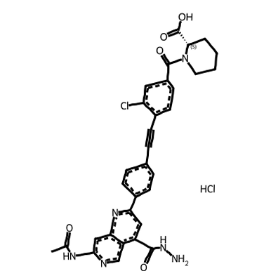 CC(=O)Nc1cc2nc(-c3ccc(C#Cc4ccc(C(=O)N5CCCC[C@H]5C(=O)O)cc4Cl)cc3)cc(C(=O)NN)c2cn1.Cl